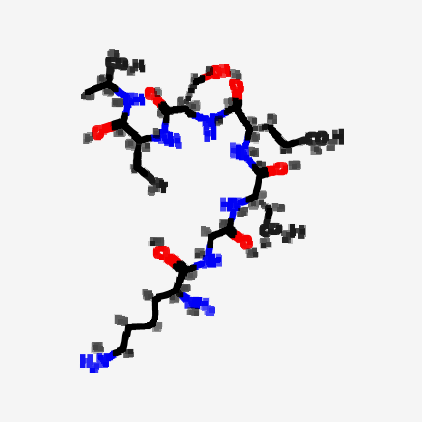 CC(C)C[C@H](NC(=O)[C@H](CO)NC(=O)[C@H](CCC(=O)O)NC(=O)[C@H](CC(=O)O)NC(=O)CNC(=O)[C@@H](N)CCCCN)C(=O)N[C@@H](C)C(=O)O